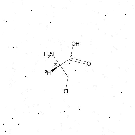 [2H][C@](N)(CCl)C(=O)O